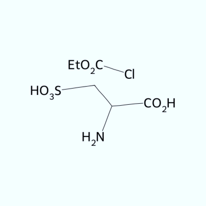 CCOC(=O)Cl.NC(CS(=O)(=O)O)C(=O)O